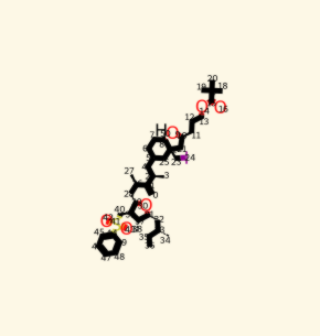 C=C([C@H](C)CC1CC[C@@H]2O[C@@H](CCCOC(=O)C(C)(C)C)C[C@]2(CI)C1)[C@H](C)C[C@@H]1O[C@H](C[C@H](C)CC)[C@H](C)[C@H]1CS(=O)(=O)c1ccccc1